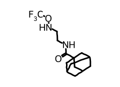 O=C(NCCNOC(F)(F)F)C12CC3CC(CC(C3)C1)C2